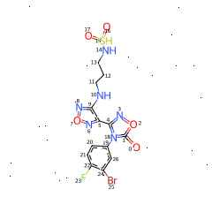 O=c1onc(-c2nonc2NCCCN[SH](=O)=O)n1-c1ccc(F)c(Br)c1